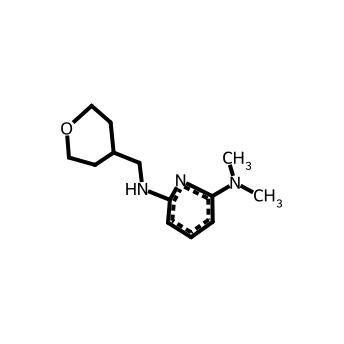 CN(C)c1cccc(NCC2CCOCC2)n1